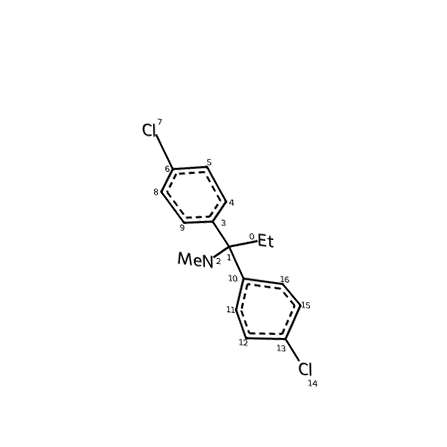 CCC(NC)(c1ccc(Cl)cc1)c1ccc(Cl)cc1